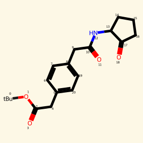 CC(C)(C)OC(=O)Cc1ccc(CC(=O)NC2CCCC2=O)cc1